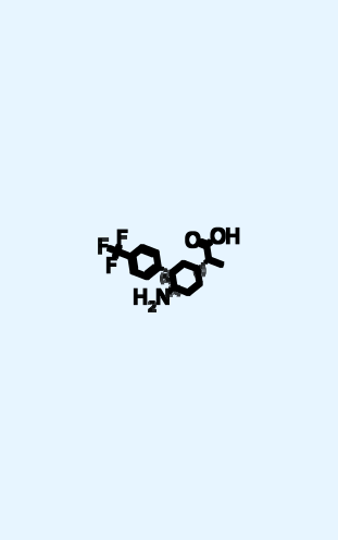 CC(C(=O)O)[C@@H]1CC[C@@H](N)[C@H](c2ccc(C(F)(F)F)cc2)C1